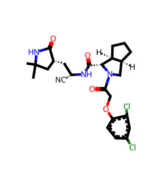 CC1(C)C[C@@H](C[C@@H](C#N)NC(=O)[C@@H]2[C@H]3CCC[C@H]3CN2C(=O)COc2ccc(Cl)cc2Cl)C(=O)N1